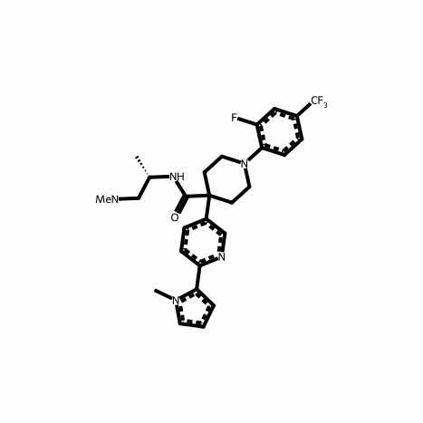 CNC[C@H](C)NC(=O)C1(c2ccc(-c3cccn3C)nc2)CCN(c2ccc(C(F)(F)F)cc2F)CC1